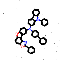 c1ccc(-c2ccc(N(c3ccc4oc5ccc6oc(-c7ccccc7)nc6c5c4c3)c3ccc4c5ccccc5n(-c5ccccc5)c4c3)cc2)cc1